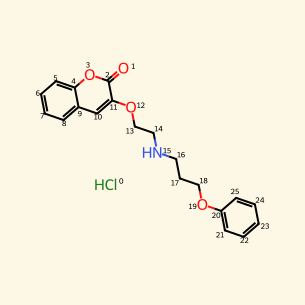 Cl.O=c1oc2ccccc2cc1OCCNCCCOc1ccccc1